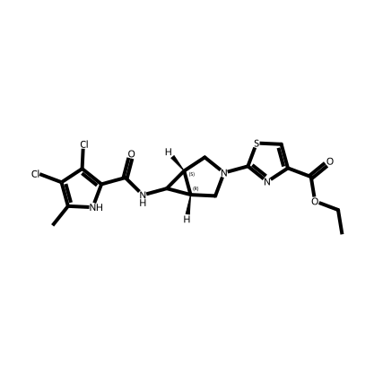 CCOC(=O)c1csc(N2C[C@@H]3C(NC(=O)c4[nH]c(C)c(Cl)c4Cl)[C@@H]3C2)n1